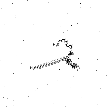 CC/C=C\C/C=C\C/C=C\C/C=C\C/C=C\CCCC(=O)OC[C@H](COP(=O)([O-])OCC[N+](C)(C)C)OC(=O)CCCCCCCCCCCCCCCCCCCCC